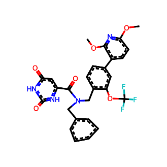 COc1ccc(-c2ccc(CN(Cc3ccccc3)C(=O)c3cc(=O)[nH]c(=O)[nH]3)c(OC(F)(F)F)c2)c(OC)n1